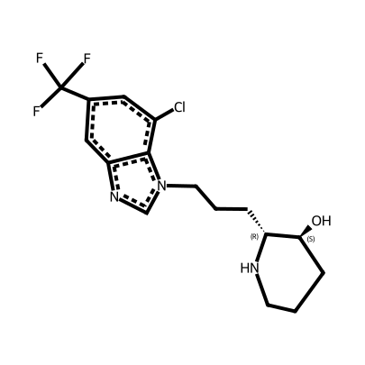 O[C@H]1CCCN[C@@H]1CCCn1cnc2cc(C(F)(F)F)cc(Cl)c21